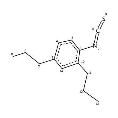 CCCc1ccc(N=C=S)c(CCC)c1